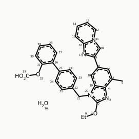 CCOc1nc2c(C)cc(-c3cn4ccccc4n3)cc2n1Cc1ccc(-c2ccccc2OC(=O)O)cc1.O